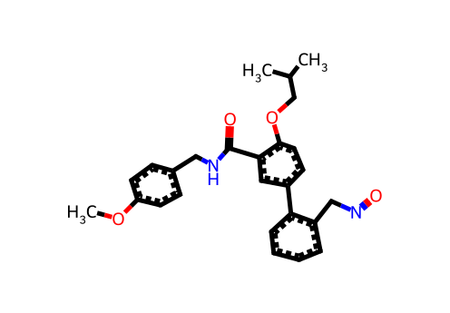 COc1ccc(CNC(=O)c2cc(-c3ccccc3CN=O)ccc2OCC(C)C)cc1